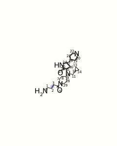 NC/C=C/C(=O)N1CCC(N(CC2CC2)c2cc(-c3ccncc3)c[nH]c2=O)CC1